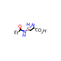 CCC(=O)NSC[C@H](N)C(=O)O